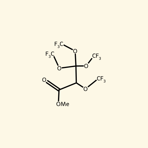 COC(=O)C(OC(F)(F)F)C(OC(F)(F)F)(OC(F)(F)F)OC(F)(F)F